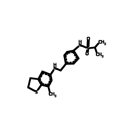 Cc1cc(NCc2ccc(NS(=O)(=O)C(C)C)cc2)cc2c1SCC2